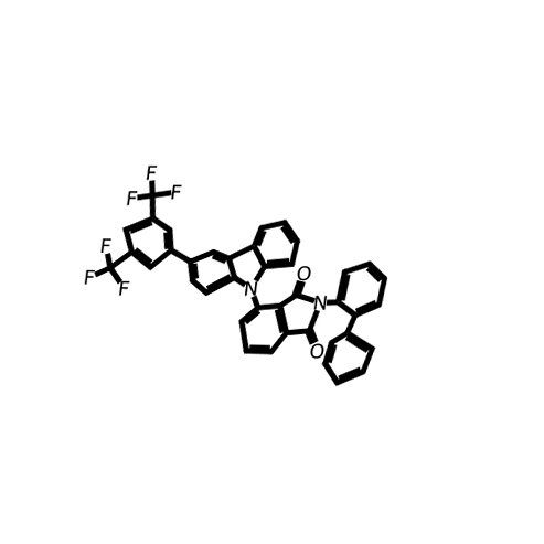 O=C1c2cccc(-n3c4ccccc4c4cc(-c5cc(C(F)(F)F)cc(C(F)(F)F)c5)ccc43)c2C(=O)N1c1ccccc1-c1ccccc1